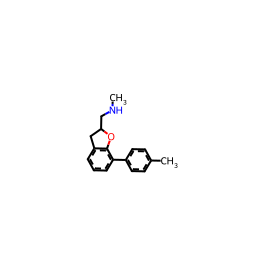 CNCC1Cc2cccc(-c3ccc(C)cc3)c2O1